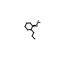 CCCC1CCCCC1=NO